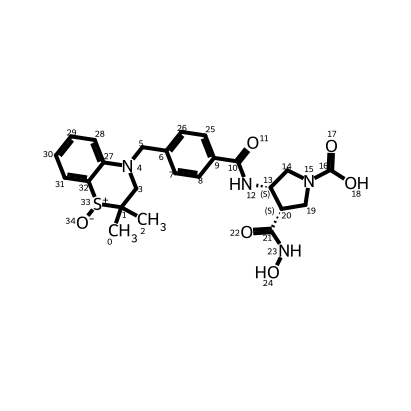 CC1(C)CN(Cc2ccc(C(=O)N[C@@H]3CN(C(=O)O)C[C@@H]3C(=O)NO)cc2)c2ccccc2[S+]1[O-]